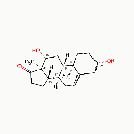 C[C@@]12C(=O)CC[C@H]1[C@@H]1CC=C3C[C@@H](O)CC[C@]3(C)[C@H]1C[C@H]2O